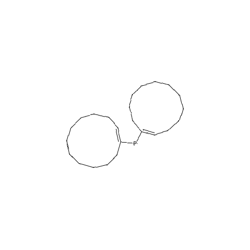 C1=C(/[P]/C2=C/CCCCCCCCCC2)CCCCCCCCCC/1